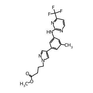 COC(=O)CCCn1cc(-c2cc(C)cc(Nc3nccc(C(F)(F)F)n3)c2)cn1